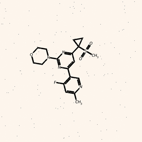 Cc1cc(F)c(-c2cc(C3(S(C)(=O)=O)CC3)nc(N3CCOCC3)n2)cn1